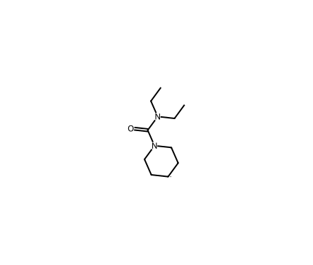 CCN(CC)C(=O)N1CC[CH]CC1